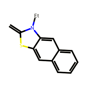 C=C1Sc2cc3ccccc3cc2N1CC